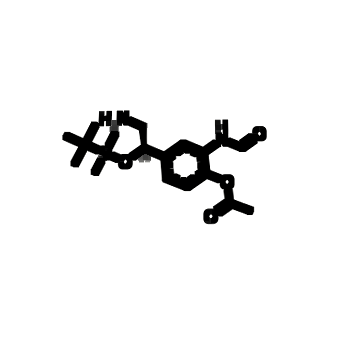 CC(=O)Oc1ccc([C@H](CN)O[Si](C)(C)C(C)(C)C)cc1NC=O